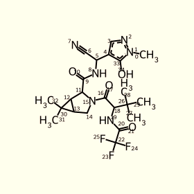 Cn1ncc(C(C#N)NC(=O)C2C3C(CN2C(=O)C(NC(=O)C(F)(F)F)C(C)(C)C)C3(C)C)c1O